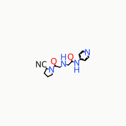 N#CC1CCCN1C(=O)CNCC(=O)Nc1ccncc1